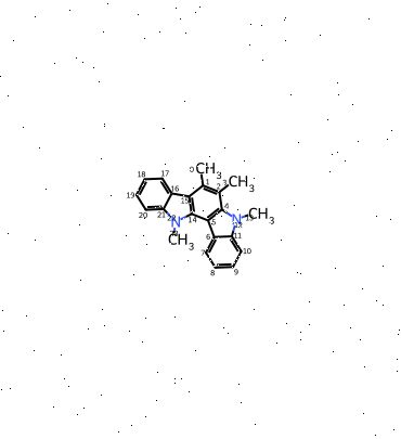 Cc1c(C)c2c(c3ccccc3n2C)c2c1c1ccccc1n2C